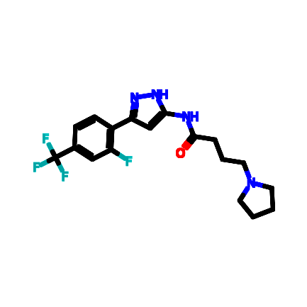 O=C(CCCN1CCCC1)Nc1cc(-c2ccc(C(F)(F)F)cc2F)n[nH]1